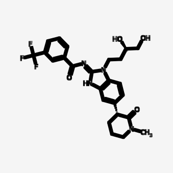 CN1CCC[C@H](c2ccc3c(c2)[nH]/c(=N\C(=O)c2cccc(C(F)(F)F)c2)n3CC[C@@H](O)CO)C1=O